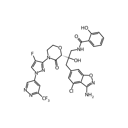 Nc1noc2cc(CC(O)(CNC(=O)c3ccccc3O)[C@H]3OCCN(c4nn(-c5cnnc(C(F)(F)F)c5)cc4F)C3=O)cc(Cl)c12